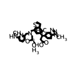 CC[C@@H]1CN(Cc2cc(C(CC(=O)O)c3ccc4c(nnn4C)c3C)cc3ccsc23)Cc2nc(NC)ccc2O1